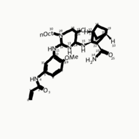 C=CC(=O)Nc1ccc(OC)c(NC2NC(N[C@H]3[C@@H]4CC[C@@H](C4)[C@H]3C(N)=O)C(Cl)CN2CCCCCCCC)c1